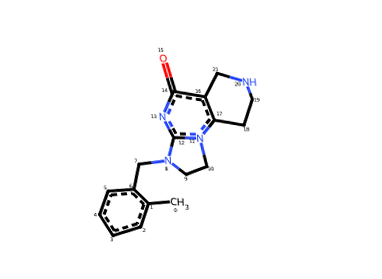 Cc1ccccc1CN1CCn2c1nc(=O)c1c2CCNC1